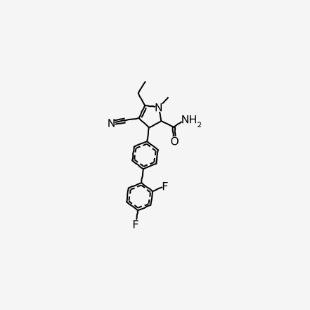 CCC1=C(C#N)C(c2ccc(-c3ccc(F)cc3F)cc2)C(C(N)=O)N1C